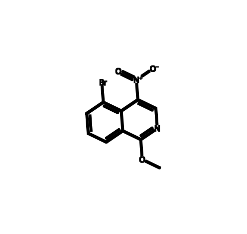 COc1ncc([N+](=O)[O-])c2c(Br)cccc12